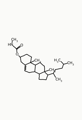 CNC(=O)OC1CCC2(C)C(=CCC3C2CCC2(C)C(C(C)CCC(C)C)CCC32)C1